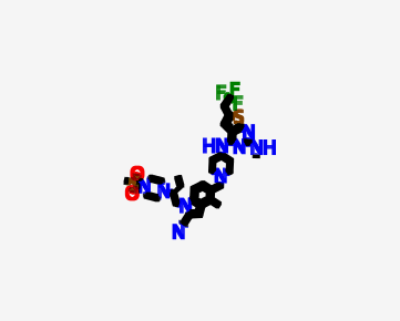 CC[C@@H](Cn1c(C#N)cc2c(C)c(CN3CCC(Nc4nc(NC)nc5sc(CC(F)(F)F)cc45)CC3)ccc21)N1CCN(S(C)(=O)=O)CC1